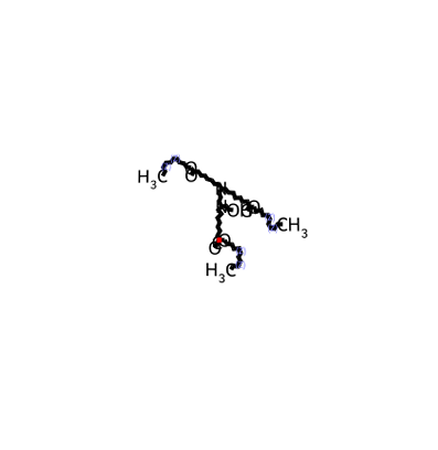 CC/C=C\C/C=C\CCCOC(=O)CCCCCCCN(CCCCCCCC(=O)OCCC/C=C\C/C=C\CC)CCCN(CCO)CCCCCCCC(=C=O)OCCC/C=C\C/C=C\CC